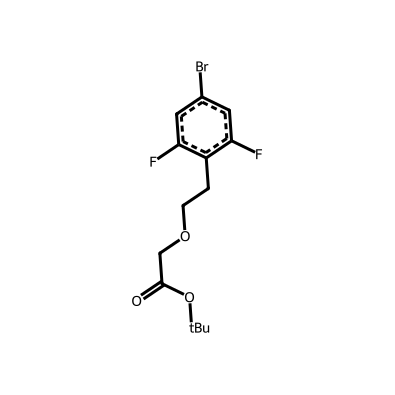 CC(C)(C)OC(=O)COCCc1c(F)cc(Br)cc1F